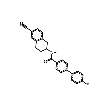 N#Cc1ccc2c(c1)CCC(NC(=O)c1ccc(-c3ccc(F)cc3)cc1)C2